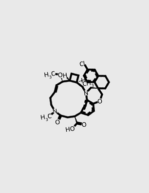 CO[C@H]1/C=C/CCN(C)C(=O)C[C@H](C(=O)O)c2ccc3c(c2)N(C[C@@]2(CCCc4cc(Cl)ccc42)CO3)C(C)[C@@H]2CC[C@@H]12